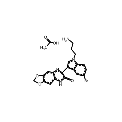 CC(=O)O.NCCCn1cc(-c2nc3cc4c(cc3[nH]c2=O)OCO4)c2cc(Br)ccc21